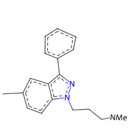 CNCCCn1nc(-c2ccccc2)c2cc(C)ccc21